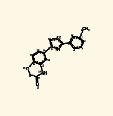 Cc1cccc(-c2nc(-c3ccc4c(c3)NC(=O)CO4)cs2)c1